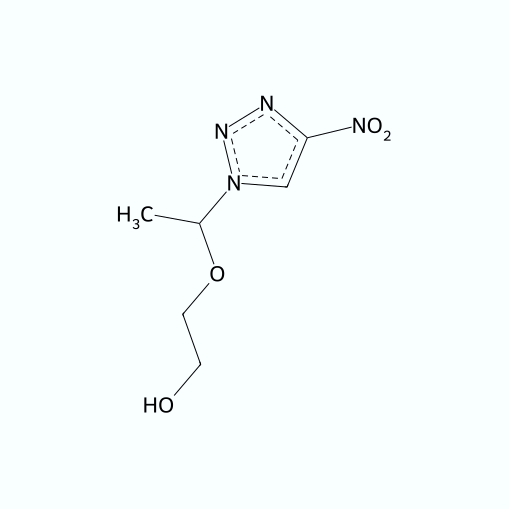 CC(OCCO)n1cc([N+](=O)[O-])nn1